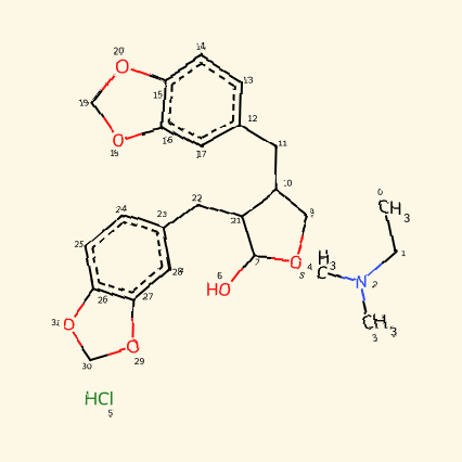 CCN(C)C.Cl.OC1OCC(Cc2ccc3c(c2)OCO3)C1Cc1ccc2c(c1)OCO2